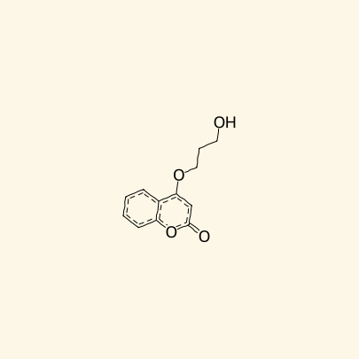 O=c1cc(OCCCO)c2ccccc2o1